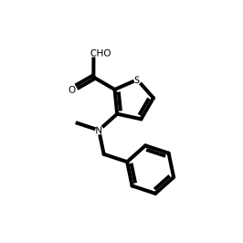 CN(Cc1ccccc1)c1ccsc1C(=O)C=O